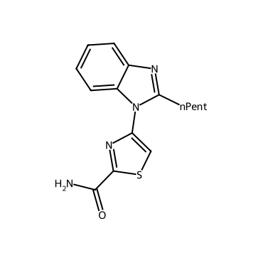 CCCCCc1nc2ccccc2n1-c1csc(C(N)=O)n1